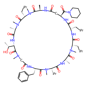 CC(C)C[C@@H]1NC(=O)[C@H](CC(C)C)N(C)C(=O)[C@H](C)NC(=O)[C@H](C(C)C)N(C)C(=O)[C@H](Cc2ccccc2)NC(=O)CN(C)C(=O)[C@H]([C@@H](C)O)NC(=O)[C@H](C)N(C)C(=O)[C@H](CC(C)C)N(C)C(=O)[C@@H](C)NC(=O)C[C@@H](C(=O)N2CCCCC2)NC1=O